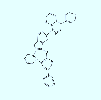 C1=CC2=C(c3ccc4oc5c(c4c3)Oc3ccc(-c4ccccc4)cc3C3=C5CCC=C3)N=CC(C3=CCCC=C3)C2C=C1